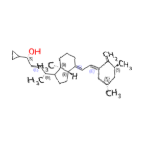 C=C1/C(=C/C=C2\CCC[C@]3(C)C([C@H](C)/C=C/[C@@H](O)C4CC4)CC[C@@H]23)C[C@@H](C)C[C@@H]1C